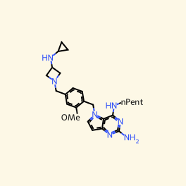 CCCCCNc1nc(N)nc2ccn(Cc3ccc(CN4CC(NC5CC5)C4)cc3OC)c12